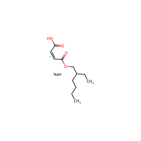 CCCCC(CC)COC(=O)/C=C\C(=O)O.[NaH]